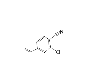 C=Cc1ccc(C#N)c(Cl)c1